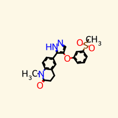 CN1C(=O)CCc2cc(-c3[nH]ncc3Oc3cccc(S(C)(=O)=O)c3)ccc21